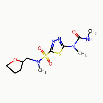 CNC(=O)N(C)c1nnc(S(=O)(=O)N(C)CC2CCCO2)s1